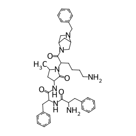 CC1CC(NC(=O)C(Cc2ccccc2)NC(=O)C(N)Cc2ccccc2)C(=O)N1C(CCCCN)C(=O)N1CC2CC1CN2Cc1ccccc1